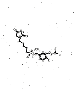 C[C@@H](NS(=O)(=O)CCCCCN1CC(=O)NC1=O)c1ccc(F)c(OCC(F)F)c1